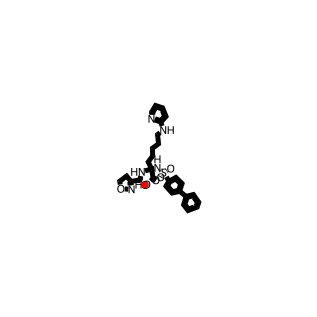 O=C(NC(CCCCCNc1ccccn1)(NS(=O)(=O)c1ccc(-c2ccccc2)cc1)C(=O)O)C1=NOCC1